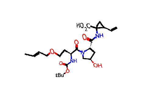 C=CC1CC1(NC(=O)[C@@H]1C[C@@H](O)CN1C(=O)[C@H](CCOCC=CC)NC(=O)OC(C)(C)C)C(=O)O